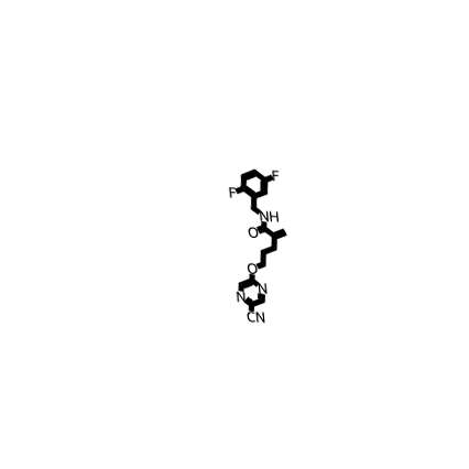 C=C(CCCOc1cnc(C#N)cn1)C(=O)NCc1cc(F)ccc1F